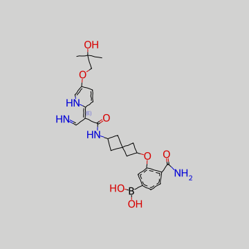 CC(C)(O)COC1=CN/C(=C(\C=N)C(=O)NC2CC3(C2)CC(Oc2cc(B(O)O)ccc2C(N)=O)C3)C=C1